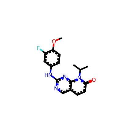 COc1ccc(Nc2ncc3ccc(=O)n(C(C)C)c3n2)cc1F